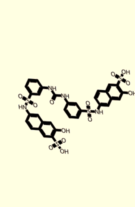 O=C(Nc1cccc(S(=O)(=O)Nc2ccc3cc(S(=O)(=O)O)c(O)cc3c2)c1)Nc1cccc(S(=O)(=O)Nc2ccc3cc(S(=O)(=O)O)c(O)cc3c2)c1